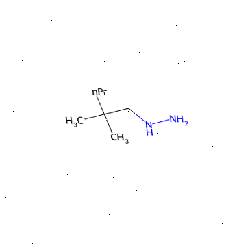 CCCC(C)(C)CNN